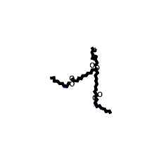 CCCCCC/C=C\COC(=O)CCCCCCCCC(CCCCCCCCC(=O)OC/C=C\CCCCCC)OC(=O)CC1CC(CN(C)C)C1